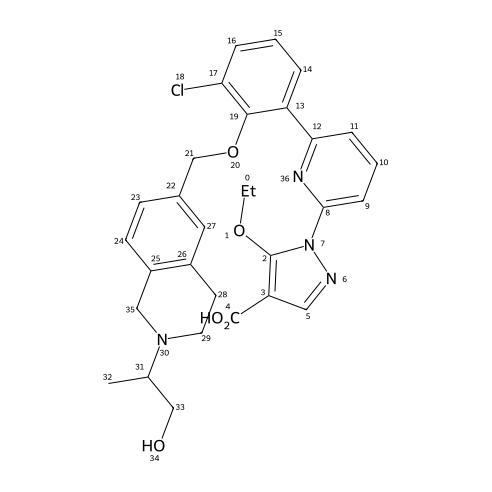 CCOc1c(C(=O)O)cnn1-c1cccc(-c2cccc(Cl)c2OCc2ccc3c(c2)CCN(C(C)CO)C3)n1